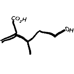 C=C(C(=O)O)C(C)CCO